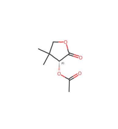 CC(=O)O[C@H]1C(=O)OCC1(C)C